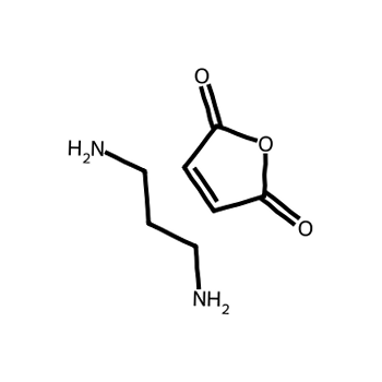 NCCCN.O=C1C=CC(=O)O1